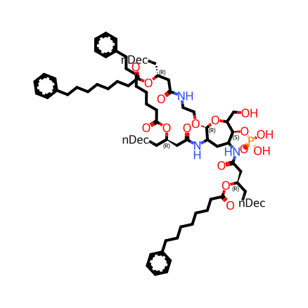 CCCCCCCCCCC[C@H](CC(=O)NCCO[C@@H]1OC(CO)[C@@H](OP(=O)(O)O)C(NC(=O)C[C@@H](CCCCCCCCCCC)OC(=O)CCCCCCCc2ccccc2)CC1NC(=O)C[C@@H](CCCCCCCCCCC)OC(=O)CCCCCCCc1ccccc1)OC(=O)CCCCCCCc1ccccc1